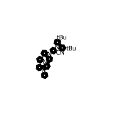 CC(C)(C)c1ccc2c(c1)c1cc(C(C)(C)C)ccc1n2-c1ccc(-n2c3ccccc3c3c2ccc2c4ccc5c(c6ccccc6n5-c5ccccc5)c4n(-c4ccccc4)c23)cc1C#N